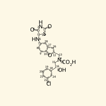 O=C1NC(=O)C(Nc2ccc3oc(CN(C[C@H](O)c4cccc(Cl)c4)C(=O)O)cc3c2)S1